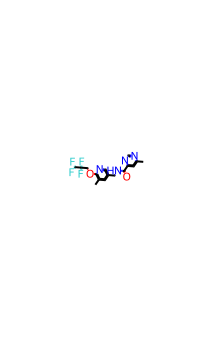 Cc1cc(C(=O)NCc2cnc(OCC(F)(F)C(F)F)c(C)c2)ncn1